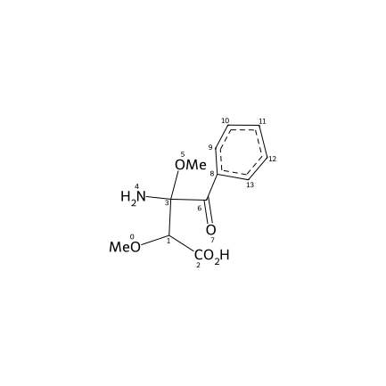 COC(C(=O)O)C(N)(OC)C(=O)c1ccccc1